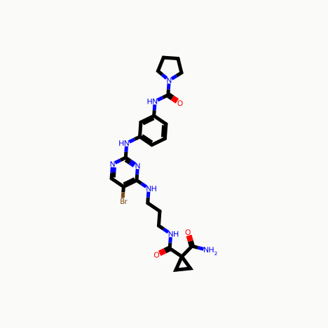 NC(=O)C1(C(=O)NCCCNc2nc(Nc3cccc(NC(=O)N4CCCC4)c3)ncc2Br)CC1